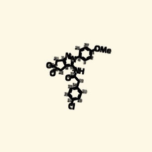 COc1ccc(-n2nc3c(c2NC(=O)Cc2ccc(Cl)cc2)CS(=O)(=O)C3)cc1